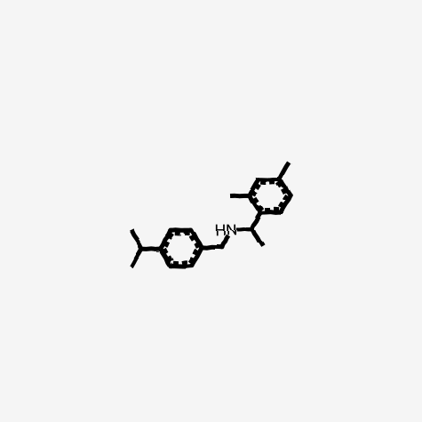 Cc1ccc(C(C)NCc2ccc(C(C)C)cc2)c(C)c1